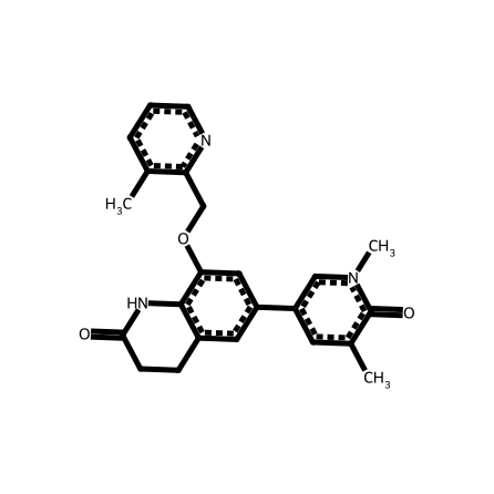 Cc1cccnc1COc1cc(-c2cc(C)c(=O)n(C)c2)cc2c1NC(=O)CC2